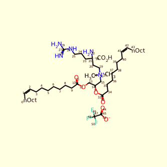 CCCCCCCC/C=C\CCCCCCCC(=O)OCC(C[N+](C)(C)CC[C@](N)(CCCNC(=N)N)C(=O)O)OC(=O)CCCCCCC/C=C\CCCCCCCC.O=C([O-])C(F)(F)F